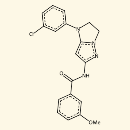 COc1cccc(C(=O)Nc2cc3n(n2)CCN3c2cccc(Cl)c2)c1